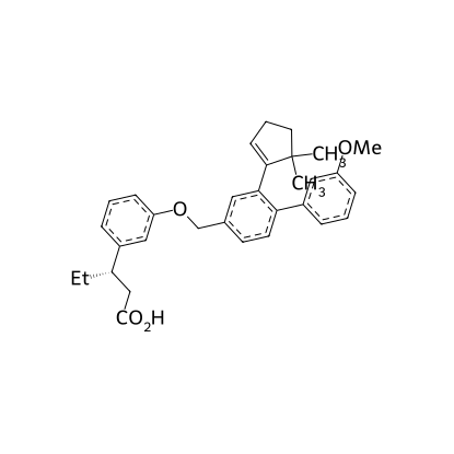 CC[C@@H](CC(=O)O)c1cccc(OCc2ccc(-c3cccc(OC)c3)c(C3=CCCC3(C)C)c2)c1